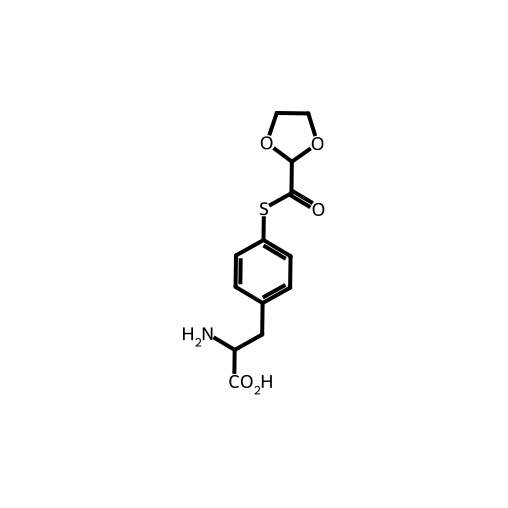 NC(Cc1ccc(SC(=O)C2OCCO2)cc1)C(=O)O